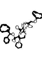 O=C(COc1ccccc1)N[C@@H]1C(=O)N2C(C(=O)OC(c3ccccc3)c3ccccc3)=C(N3CCCCC3)CS[C@@H]12